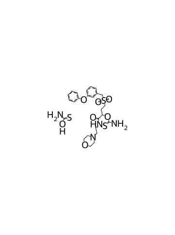 NC(=S)OC(CCS(=O)(=O)Cc1cccc(Oc2ccccc2)c1)C(=O)NCCN1CCOCC1.NC(O)=S